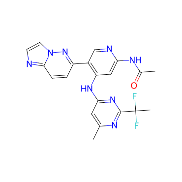 CC(=O)Nc1cc(Nc2cc(C)nc(C(C)(F)F)n2)c(-c2ccc3nccn3n2)cn1